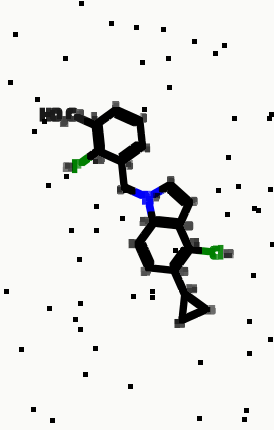 O=C(O)c1cccc(Cn2ccc3c(Cl)c(C4CC4)ccc32)c1F